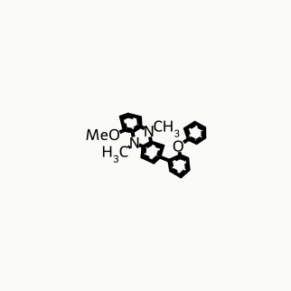 COc1cccc2c1N(C)c1ccc(-c3ccccc3Oc3ccccc3)cc1N2C